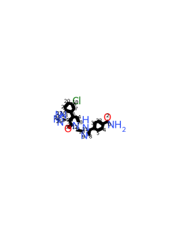 NC(=O)c1ccc(-c2cnc(Cn3ccc(-c4cc(Cl)ccc4-n4cnnn4)cc3=O)[nH]2)cc1